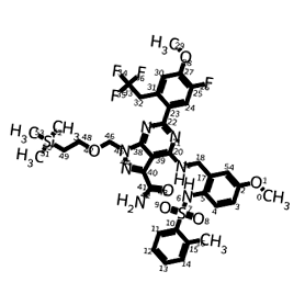 COc1ccc(NS(=O)(=O)c2ccccc2C)c(CNc2nc(-c3cc(F)c(OC)cc3CC(F)(F)F)nc3c2c(C(N)=O)nn3COCC[Si](C)(C)C)c1